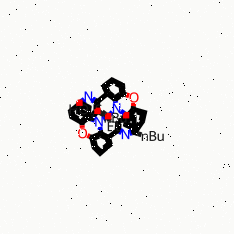 CCCCc1cccc(-c2cccc3c2N(C(CC)(N2c4ccccc4Oc4cccc(-c5ncccc5CCCC)c42)S(=O)(=O)O)c2ccccc2O3)n1